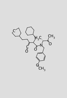 COc1ccc(CN(C(=O)C(CC2CCCCC2)C(=C=O)CCC2CCCCC2)[C@H](C)C(C)=O)cc1